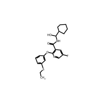 CCSc1cccc(Oc2ncc(F)cc2C(=O)NC(O)C2CCCCC2)c1